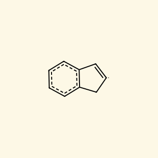 [C]1=Cc2ccccc2C1